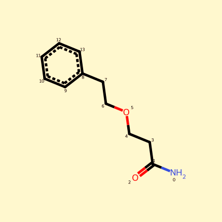 NC(=O)CCOCCc1ccccc1